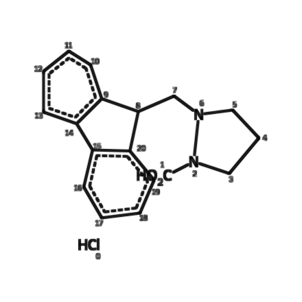 Cl.O=C(O)N1CCCN1CC1c2ccccc2-c2ccccc21